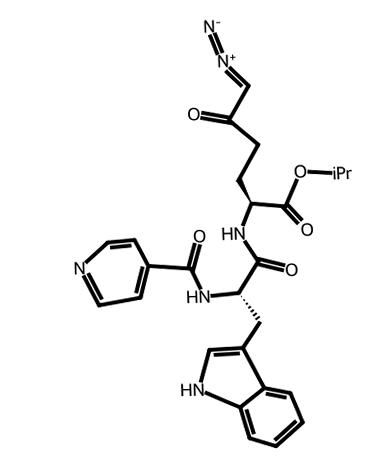 CC(C)OC(=O)[C@H](CCC(=O)C=[N+]=[N-])NC(=O)[C@H](Cc1c[nH]c2ccccc12)NC(=O)c1ccncc1